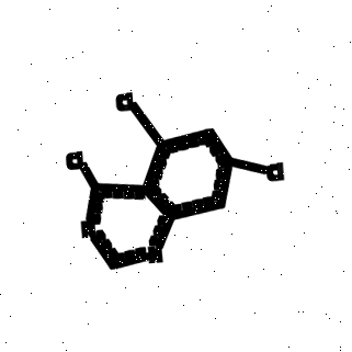 Clc1cc(Cl)c2c(Cl)ncnc2c1